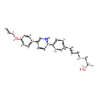 C=CCOc1ccc(-c2ccc(-c3ccc(/C=C/CCCC(C)O)cc3)nc2)cc1